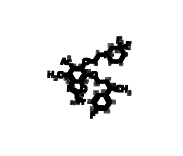 CC(=O)c1c(OCCN2CCCC(F)(F)C2)c(OCCC(C)c2ccc(F)cc2)c2oc(C(C)C)nc2c1C